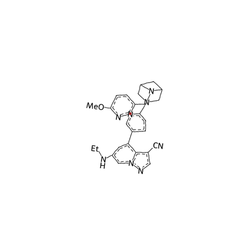 CCNc1cc(-c2ccc(N3CC4CC(C3)N4Cc3ccc(OC)nc3)nc2)c2c(C#N)cnn2c1